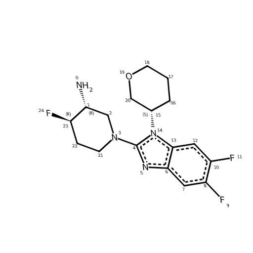 N[C@@H]1CN(c2nc3cc(F)c(F)cc3n2[C@H]2[CH]CCOC2)CC[C@H]1F